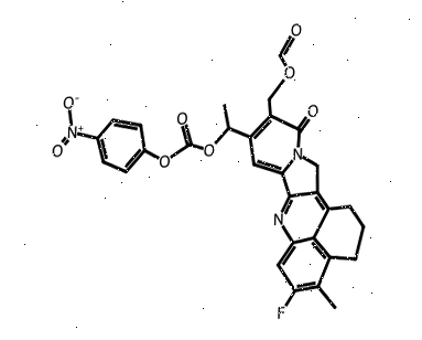 Cc1c(F)cc2nc3c(c4c2c1CCC4)Cn1c-3cc(C(C)OC(=O)Oc2ccc([N+](=O)[O-])cc2)c(COC=O)c1=O